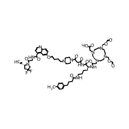 C#C[C@H]1CC(F)(F)CN1C(=O)CNC(=O)c1ccnc2ccc(OCCCCN3CCN(C(=O)CC(=O)NC(=O)[C@H](CCCCNC(=O)CCCc4ccc(C)cc4)NC(=O)CN4CCN(COC=O)CCN(COC=O)CCN(CC(=O)O)CC4)CC3)cc12